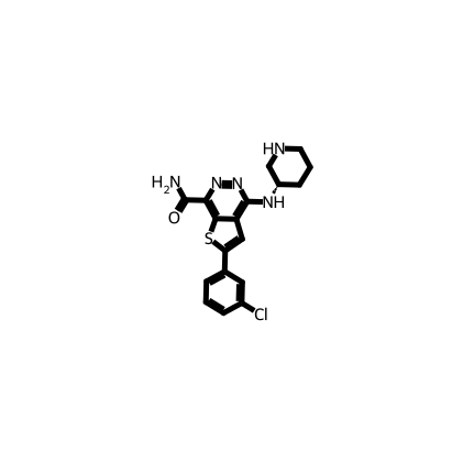 NC(=O)c1nnc(N[C@H]2CCCNC2)c2cc(-c3cccc(Cl)c3)sc12